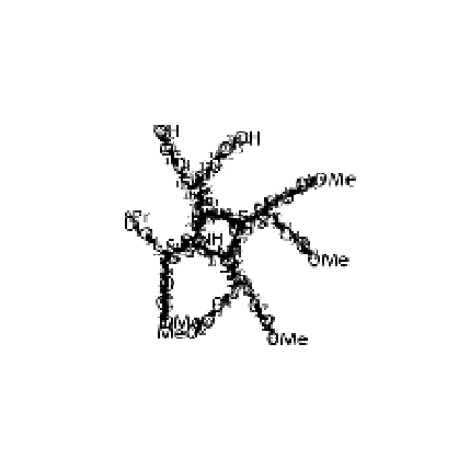 CCCOCCOCCSC1=C(SCCOCCOCCOC)S/C(=C2/Sc3c4[nH]c(c3S2)C(C)(C)c2[nH]c(c3c2SC(=C2SC(SCCOCCOCCOC)=C(SCCOCCOCCOC)S2)S3)C(C)(C)c2[nH]c(c3c2SC(=C2SC(SCCOCCOCCOC)=C(SCCOCCOCCOC)S2)S3)C(C)(C)c2[nH]c(c3c2SC(=C2SC(SCCOCCOCCO)=C(SCCOCCOCCO)S2)S3)C4(C)C)S1